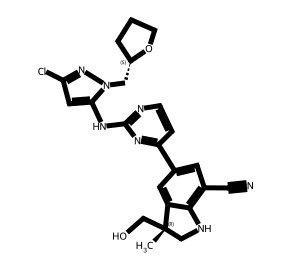 C[C@]1(CO)CNc2c(C#N)cc(-c3ccnc(Nc4cc(Cl)nn4C[C@@H]4CCCO4)n3)cc21